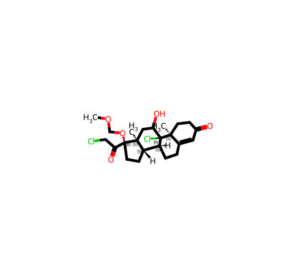 COCO[C@]1(C(=O)CCl)CC[C@H]2[C@@H]3CCC4=CC(=O)CC[C@]4(C)[C@@]3(Cl)C(O)C[C@@]21C